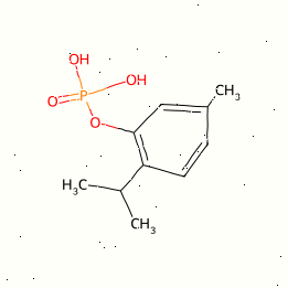 Cc1ccc(C(C)C)c(OP(=O)(O)O)c1